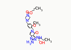 CCCCOC(=O)N1CCN(Cc2ccc(Cn3ccc4nc(N)nc(N[C@H](CO)CCC)c4c3=O)c(OC)c2)CC1